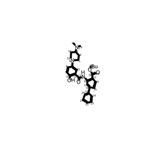 CN(C)C1CCN(c2ccc(O)c(C(=O)Nc3cc(-c4ccccc4)ccc3C(=O)OC(C)(C)C)c2)CC1